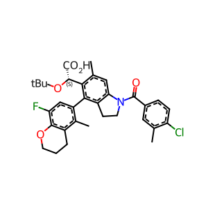 Cc1cc(C(=O)N2CCc3c2cc(C)c([C@H](OC(C)(C)C)C(=O)O)c3-c2cc(F)c3c(c2C)CCCO3)ccc1Cl